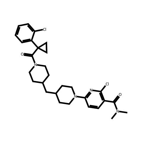 CN(C)C(=O)c1ccc(N2CCC(CC3CCN(C(=O)C4(c5ccccc5Cl)CC4)CC3)CC2)nc1Cl